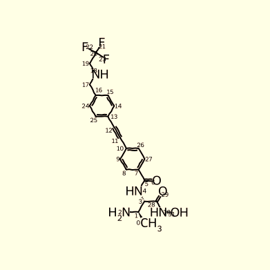 C[C@@H](N)[C@H](NC(=O)c1ccc(C#Cc2ccc(CNCC(F)(F)F)cc2)cc1)C(=O)NO